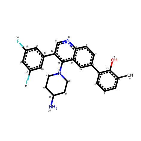 N#Cc1cccc(-c2ccc3ncc(-c4cc(F)cc(F)c4)c(N4CCC(N)CC4)c3c2)c1O